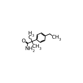 CCc1ccc(C(C)(C)C(N)=O)cc1